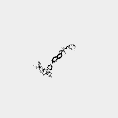 CCN(CC)CCNC(=S)Nc1ccc2nc(N3CCN(C(=O)[C@@H](NC(=O)OC(C)(C)C)C(C)C)CC3)ccc2c1